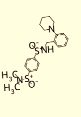 CN(C)[S+]([O-])c1ccc([S+]([O-])NCc2ccccc2N2CCCCC2)cc1